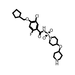 O=C(NS(=O)(=O)N1CCC(OC2CCNCC2)CC1)c1cc(Cl)c(OCC2CCCC2)cc1F